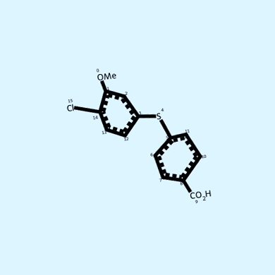 COc1cc(Sc2ccc(C(=O)O)cc2)ccc1Cl